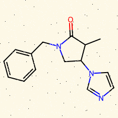 CC1C(=O)N(Cc2ccccc2)CC1n1ccnc1